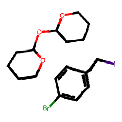 Brc1ccc(CI)cc1.C1CCC(OC2CCCCO2)OC1